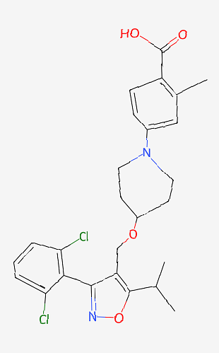 Cc1cc(N2CCC(OCc3c(-c4c(Cl)cccc4Cl)noc3C(C)C)CC2)ccc1C(=O)O